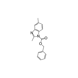 Cc1ccc2c(c1)nc(C)n2C(=O)OCc1ccccc1